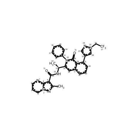 Cc1nn2cccnc2c1C(=O)N[C@@H](C)c1cc2cccc(-c3cnn(CC(F)(F)F)c3)c2c(=O)n1-c1ccccc1